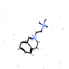 C[N+](C)(C)CC[N+]1=Cc2ccccc2CC1